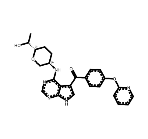 CC(O)[C@@H]1CC[C@@H](Nc2ncnc3[nH]cc(C(=O)c4ccc(Oc5ccccn5)cc4)c23)CO1